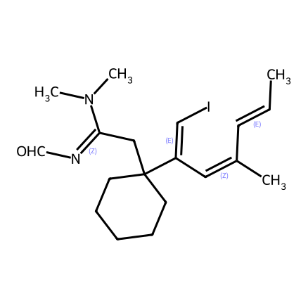 C/C=C/C(C)=C\C(=C/I)C1(C/C(=N/C=O)N(C)C)CCCCC1